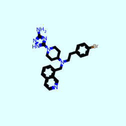 Nc1n[nH]c(N2CCC(N(CCc3ccc(Br)cc3)Cc3cccc4ccncc34)CC2)n1